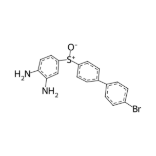 Nc1ccc([S+]([O-])c2ccc(-c3ccc(Br)cc3)cc2)cc1N